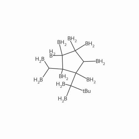 BC1C(B)(B)C(B)(B)C(B)(C(B)B)C1(B)C(B)(B)C(C)(C)C